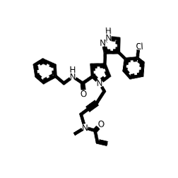 C=CC(=O)N(C)CC#CCn1cc(-c2n[nH]cc2-c2ccccc2Cl)cc1C(=O)NCc1ccccc1